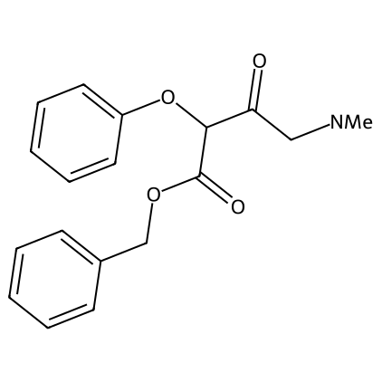 CNCC(=O)C(Oc1ccccc1)C(=O)OCc1ccccc1